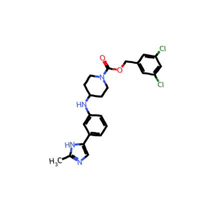 Cc1ncc(-c2cccc(NC3CCN(C(=O)OCc4cc(Cl)cc(Cl)c4)CC3)c2)[nH]1